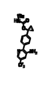 CC(C)(C)NC(=O)OC1(c2ccc(-c3ncc(C(F)(F)F)cc3N)cc2)CC1